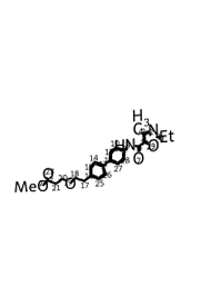 CCc1nc(C)c(C(=O)Nc2ccc(-c3ccc(CCOCCC(=O)OC)cc3)cc2)o1